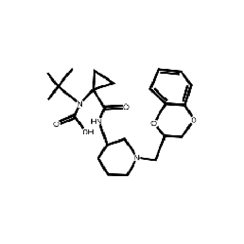 CC(C)(C)N(C(=O)O)C1(C(=O)NC2CCCN(CC3COc4ccccc4O3)C2)CC1